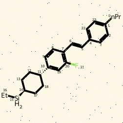 CCCc1ccc(/C=C/c2ccc([C@H]3CC[C@H]([SiH2]CC)CC3)cc2F)cc1